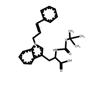 CC(C)(C)OC(=O)NC(Cc1cn(C/C=C/c2ccccc2)c2ccccc12)C(=O)O